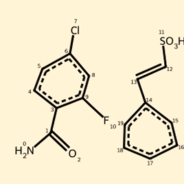 NC(=O)c1ccc(Cl)cc1F.O=S(=O)(O)C=Cc1ccccc1